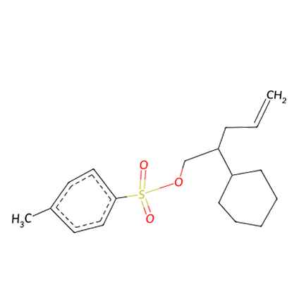 C=CCC(COS(=O)(=O)c1ccc(C)cc1)C1CCCCC1